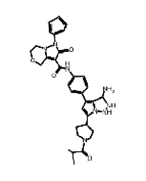 CC(C)C(=O)N1CCC(c2cc(-c3ccc(NC(=O)c4c5n(n(-c6ccccc6)c4=O)CCOC5)cc3)c3n2NNC3N)CC1